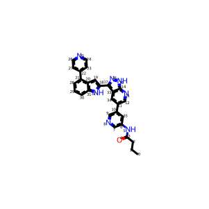 CCCC(=O)Nc1cncc(-c2cnc3[nH]nc(-c4cc5c(-c6ccncc6)cccc5[nH]4)c3c2)c1